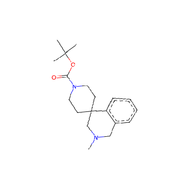 CN1Cc2ccccc2C2(CCN(C(=O)OC(C)(C)C)CC2)C1